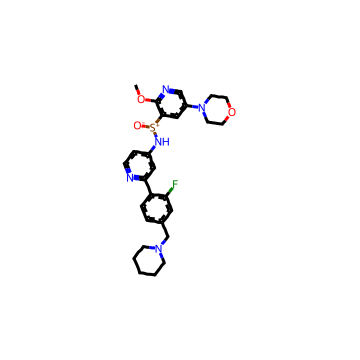 COc1ncc(N2CCOCC2)cc1[S+]([O-])Nc1ccnc(-c2ccc(CN3CCCCC3)cc2F)c1